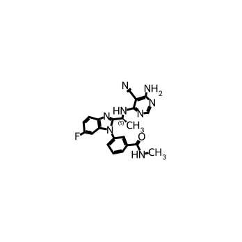 CNC(=O)c1cccc(-n2c([C@H](C)Nc3ncnc(N)c3C#N)nc3ccc(F)cc32)c1